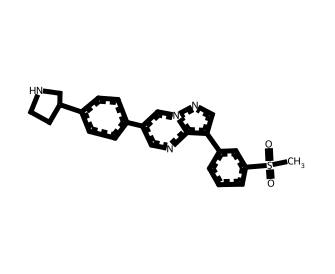 CS(=O)(=O)c1cccc(-c2cnn3cc(-c4ccc(C5CCNC5)cc4)cnc23)c1